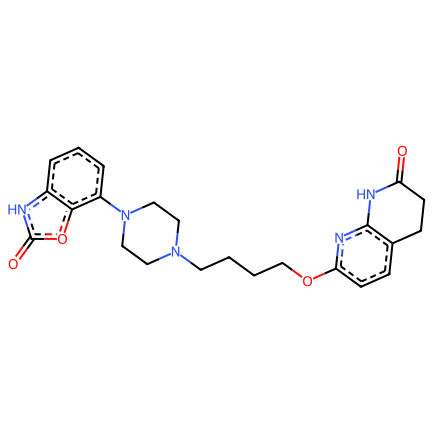 O=C1CCc2ccc(OCCCCN3CCN(c4cccc5[nH]c(=O)oc45)CC3)nc2N1